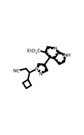 CCOC(=O)c1cnc2[nH]ccc2c1-c1cnn(C(CC#N)C2CCC2)c1